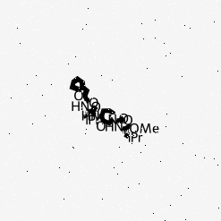 COC(=O)[C@H](CC(C)C)NC(=O)N1CCCC(NC(=O)[C@H](CC(C)C)NC(=O)c2cc3ccccc3o2)C(=O)C1